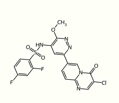 COc1nnc(-c2ccc3ncc(Cl)c(=O)n3c2)cc1NS(=O)(=O)c1ccc(F)cc1F